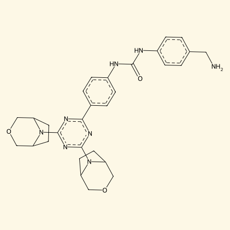 NCc1ccc(NC(=O)Nc2ccc(-c3nc(N4C5CCC4COC5)nc(N4C5CCC4COC5)n3)cc2)cc1